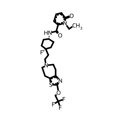 CCn1c(C(=O)N[C@H]2CC[C@](F)(CCN3CCc4nc(OCC(F)(F)F)sc4CC3)CC2)cccc1=O